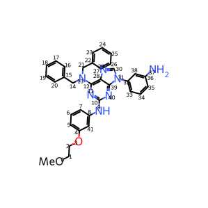 COCCOc1cccc(Nc2nc(N(Cc3ccccc3)Cc3ccccc3)c3ncn(-c4cccc(N)c4)c3n2)c1